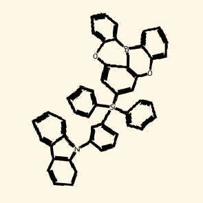 C1=Cc2c(n(-c3cccc([Si](c4ccccc4)(c4ccccc4)c4cc5c6c(c4)Oc4ccccc4B6c4ccccc4O5)c3)c3ccccc23)CC1